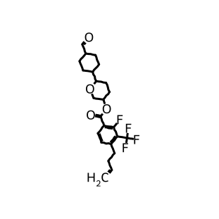 C=CCCc1ccc(C(=O)OC2CCC(C3CCC(C=O)CC3)OC2)c(F)c1C(F)(F)F